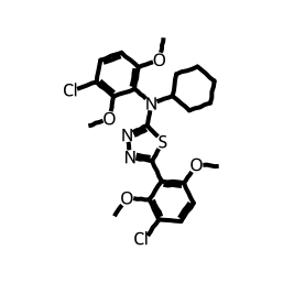 COc1ccc(Cl)c(OC)c1-c1nnc(N(c2c(OC)ccc(Cl)c2OC)C2CCCCC2)s1